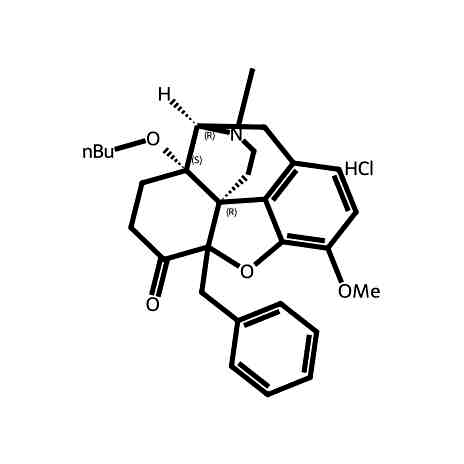 CCCCO[C@@]12CCC(=O)C3(Cc4ccccc4)Oc4c(OC)ccc5c4[C@@]31CCN(C)[C@@H]2C5.Cl